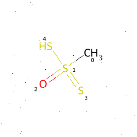 CS(=O)(=S)S